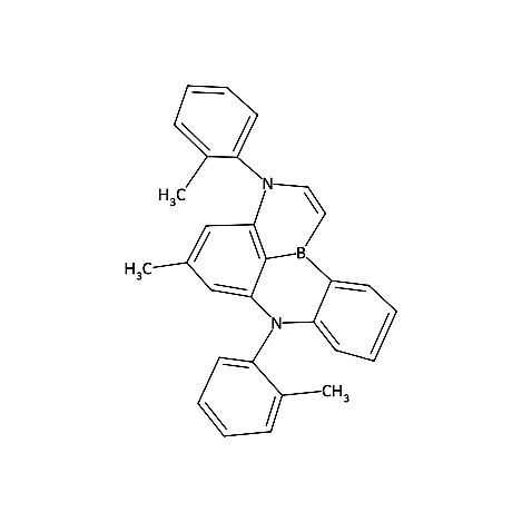 Cc1cc2c3c(c1)N(c1ccccc1C)c1ccccc1B3C=CN2c1ccccc1C